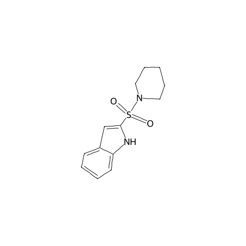 O=S(=O)(c1cc2ccccc2[nH]1)N1CCCCC1